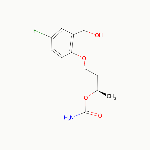 C[C@H](CCOc1ccc(F)cc1CO)OC(N)=O